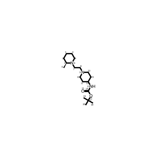 C[C@H]1CCCCN1CCN1CCC(NC(=O)OC(C)(C)C)CC1